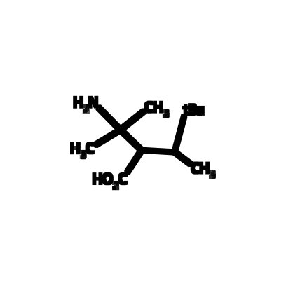 CC(C(C(=O)O)C(C)(C)N)C(C)(C)C